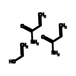 C=CC(N)=O.C=CC(N)=O.C=CO